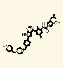 Cc1c(NC(=O)N2C[C@@H](CC(C)C)[C@@H](O)C2)cc(F)cc1-c1ncnc2[nH]c(-c3ccc(CN4CCN(CC5CCNCC5)CC4)cc3)cc12